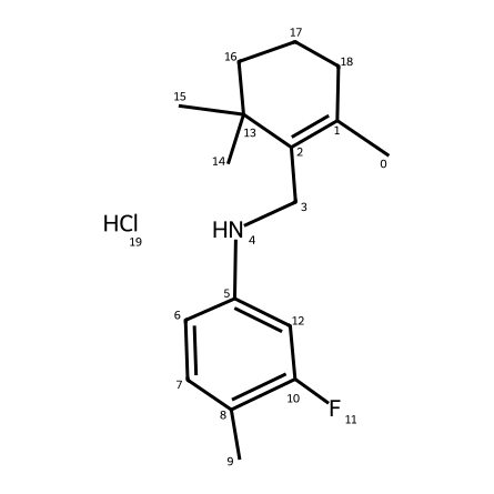 CC1=C(CNc2ccc(C)c(F)c2)C(C)(C)CCC1.Cl